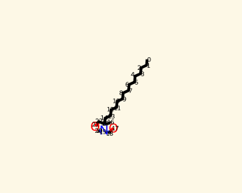 CCCCCCCCCCCCCCCC12COCN1COC2